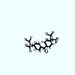 CC(C)N(c1ccc(C(=O)c2ccc(N(C(C)C)C(C)C)cc2)cc1)C(C)C